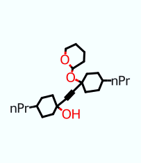 CCCC1CCC(O)(C#CC2(OC3CCCCO3)CCC(CCC)CC2)CC1